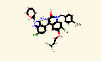 COc1ccc(Cn2c(=O)c(N)c(-c3ccc(Cl)c4nn(C5CCCCO5)cc34)c3cc(OCCC(F)F)c(F)cc32)cc1